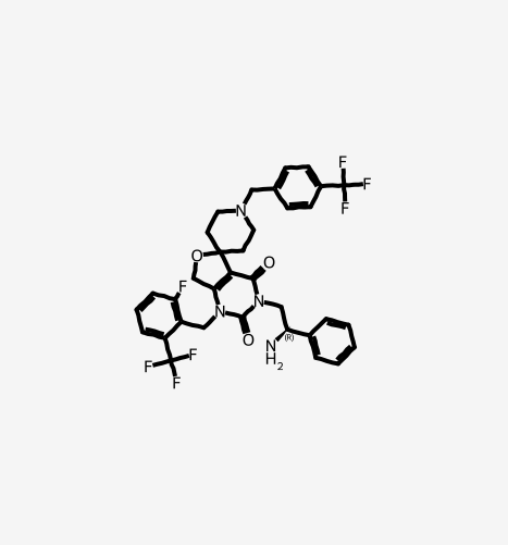 N[C@@H](Cn1c(=O)c2c(n(Cc3c(F)cccc3C(F)(F)F)c1=O)COC21CCN(Cc2ccc(C(F)(F)F)cc2)CC1)c1ccccc1